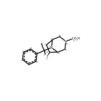 CC(C)(c1ccccc1)N1C2CC(F)C1CN(C(=O)O)C2